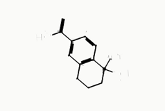 C=C(O)c1ccc2c(c1)CCCC2(O)C(C)C